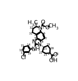 COC(=O)N1c2ccc3c(nc(Nc4cccc(Cl)c4)n3[C@H]3CC[C@H](C(=O)O)CC3)c2CC[C@@H]1C